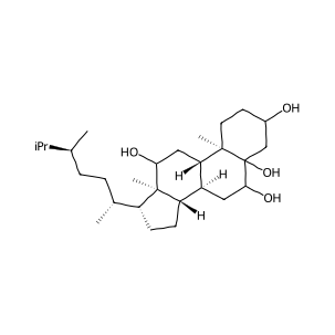 CC(C)[C@@H](C)CC[C@@H](C)[C@H]1CC[C@H]2[C@@H]3CC(O)C4(O)CC(O)CC[C@]4(C)[C@H]3CC(O)[C@]12C